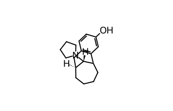 Oc1ccc2c(c1)C1CCCC[C@@H](C2)[C@@H]1N1CCCC1